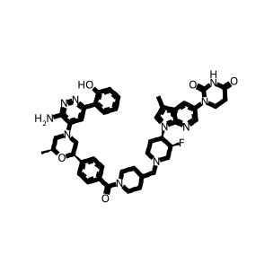 Cc1cn([C@@H]2CCN(CC3CCN(C(=O)c4ccc([C@@H]5CN(c6cc(-c7ccccc7O)nnc6N)C[C@H](C)O5)cc4)CC3)C[C@@H]2F)c2ncc(N3CCC(=O)NC3=O)cc12